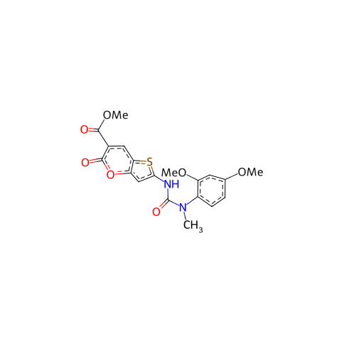 COC(=O)c1cc2sc(NC(=O)N(C)c3ccc(OC)cc3OC)cc2oc1=O